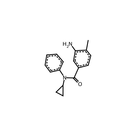 Cc1ccc(C(=O)N(c2ccccc2)C2CC2)cc1N